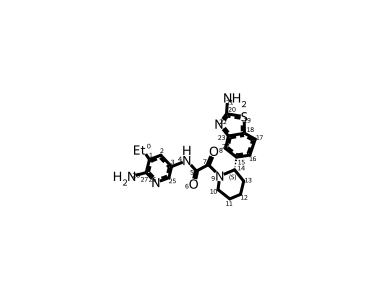 CCc1cc(NC(=O)C(=O)N2CCCC[C@H]2c2ccc3sc(N)nc3c2)cnc1N